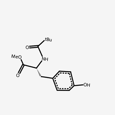 COC(=O)[C@@H](Cc1ccc(O)cc1)NC(=O)C(C)(C)C